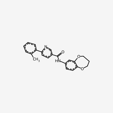 Cc1ccccc1-c1ccc(C(=O)Nc2ccc3c(c2)OCCCO3)cn1